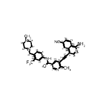 Cc1ncc(C(=O)Nc2ccc(CN3CCN(C)CC3)c(C(F)(F)F)c2)cc1C#Cc1cnc(N)c2ccc(C#N)cc12